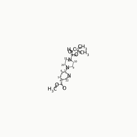 COC(=O)c1ccc(N2CCN(C(=O)OC(C)(C)C)CC2)nc1